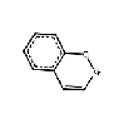 C1=Cc2ccccc2O[Si]1